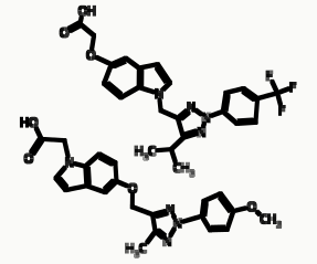 CC(C)c1nn(-c2ccc(C(F)(F)F)cc2)nc1Cn1ccc2cc(OCC(=O)O)ccc21.COc1ccc(-n2nc(C)c(COc3ccc4c(ccn4CC(=O)O)c3)n2)cc1